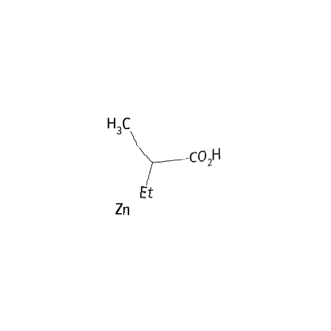 CCC(C)C(=O)O.[Zn]